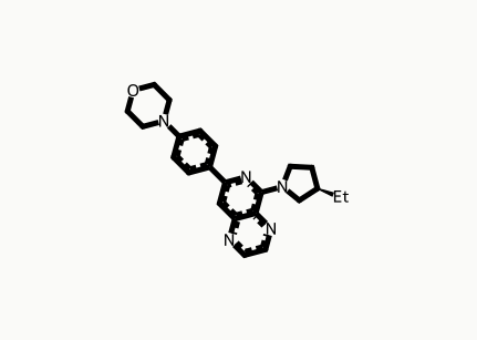 CC[C@@H]1CCN(c2nc(-c3ccc(N4CCOCC4)cc3)cc3nccnc23)C1